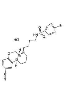 Cl.N#Cc1ccc2c(c1)[C@@H]1CCCN(CCCCNS(=O)(=O)c3ccc(Br)cc3)[C@H]1CO2